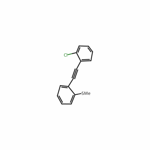 CSc1ccccc1C#Cc1ccccc1Cl